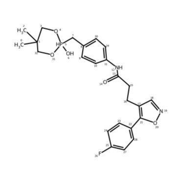 CC1(C)CO[PH](O)(Cc2ccc(NC(=O)CCc3cnoc3-c3ccc(F)cc3)cc2)OC1